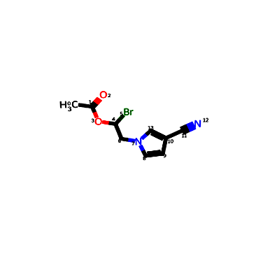 CC(=O)OC(Br)Cn1ccc(C#N)c1